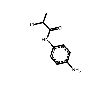 CC(Cl)C(=O)Nc1ccc(N)cc1